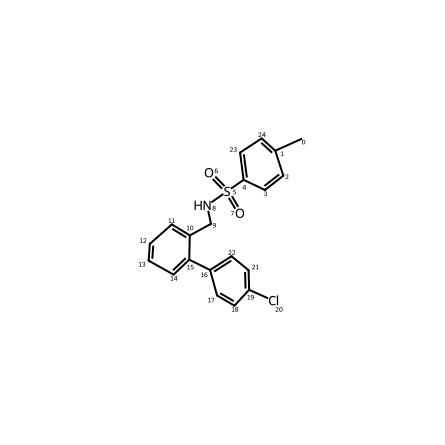 Cc1ccc(S(=O)(=O)NCc2ccccc2-c2ccc(Cl)cc2)cc1